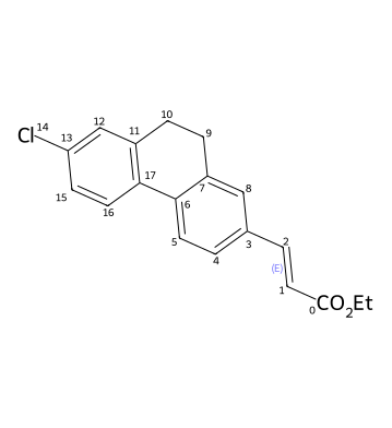 CCOC(=O)/C=C/c1ccc2c(c1)CCc1cc(Cl)ccc1-2